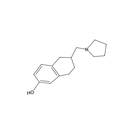 Oc1ccc2c(c1)CCC(CN1CCCC1)C2